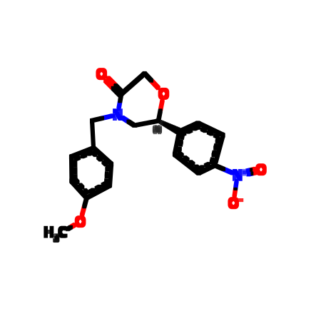 COc1ccc(CN2C[C@H](c3ccc([N+](=O)[O-])cc3)OCC2=O)cc1